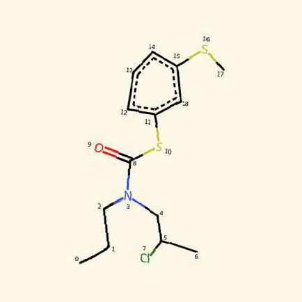 CCCN(CC(C)Cl)C(=O)Sc1cccc(SC)c1